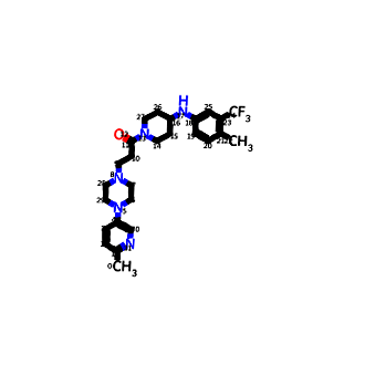 Cc1ccc(N2CCN(CCC(=O)N3CCC(Nc4ccc(C)c(C(F)(F)F)c4)CC3)CC2)cn1